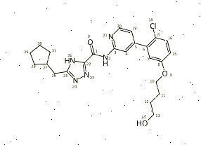 O=C(Nc1cc(-c2cc(OCCCCO)ccc2Cl)ccn1)c1nnc(CC2CCCC2)[nH]1